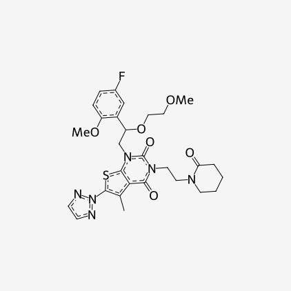 COCCOC(Cn1c(=O)n(CCN2CCCCC2=O)c(=O)c2c(C)c(-n3nccn3)sc21)c1cc(F)ccc1OC